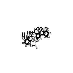 CCOC(=O)CC(NC(=O)Nc1c(O)ccn(C)c1=O)c1cc(F)cc(-c2ccccc2C)c1C